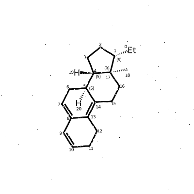 CC[C@H]1CC[C@H]2[C@@H]3CC=C4C=CCCC4=C3CC[C@]12C